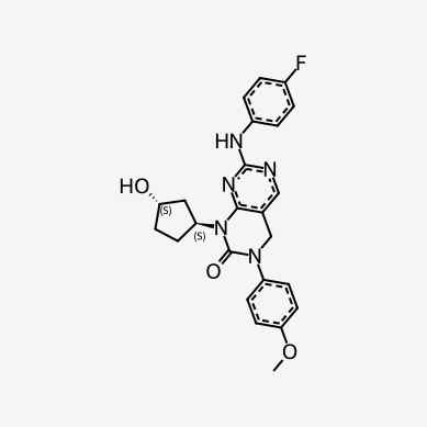 COc1ccc(N2Cc3cnc(Nc4ccc(F)cc4)nc3N([C@H]3CC[C@H](O)C3)C2=O)cc1